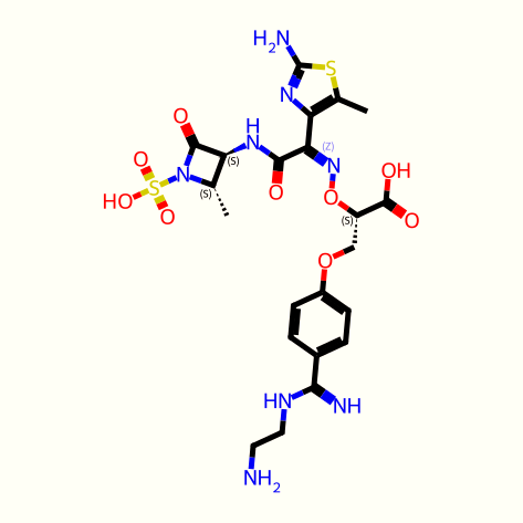 Cc1sc(N)nc1/C(=N/O[C@@H](COc1ccc(C(=N)NCCN)cc1)C(=O)O)C(=O)N[C@@H]1C(=O)N(S(=O)(=O)O)[C@H]1C